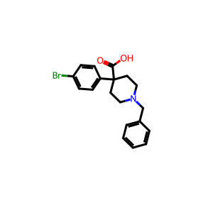 O=C(O)C1(c2ccc(Br)cc2)CCN(Cc2ccccc2)CC1